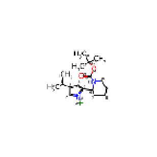 CC(C)c1cc(C2CCCCN2C(=O)OC(C)(C)C)n(F)c1